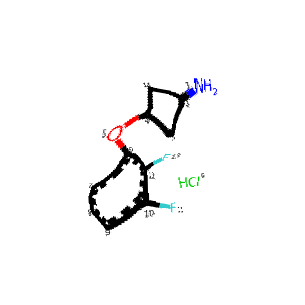 Cl.NC1CC(Oc2cccc(F)c2F)C1